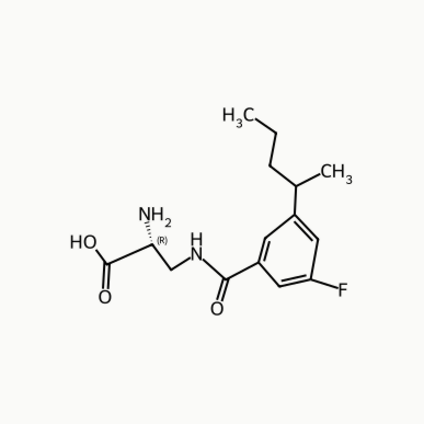 CCCC(C)c1cc(F)cc(C(=O)NC[C@@H](N)C(=O)O)c1